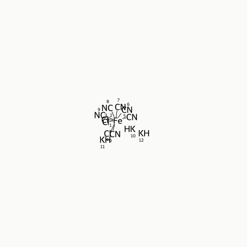 N#[C][Fe]([Cl])([Cl])([Cl])([C]#N)([C]#N)([C]#N)([C]#N)[C]#N.[KH].[KH].[KH]